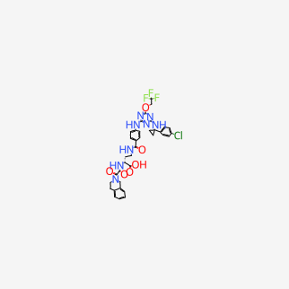 O=C(N[C@H](CCNC(=O)c1ccc(Nc2nc(NC3(c4ccc(Cl)cc4)CC3)nc(OCC(F)(F)F)n2)cc1)C(=O)O)C(=O)N1CCc2ccccc2C1